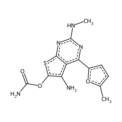 CNc1nc(-c2ccc(C)o2)c2c(N)c(OC(N)=O)sc2n1